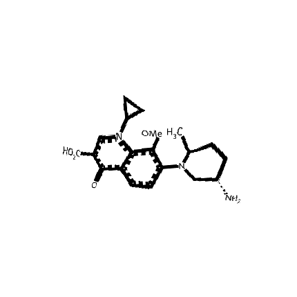 COc1c(N2C[C@@H](N)CCC2C)ccc2c(=O)c(C(=O)O)cn(C3CC3)c12